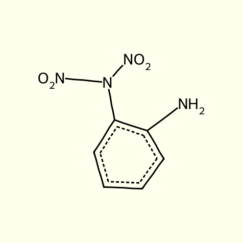 Nc1ccccc1N([N+](=O)[O-])[N+](=O)[O-]